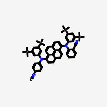 [C-]#[N+]c1ccc(N(c2cc([Si](C)(C)C)cc([Si](C)(C)C)c2)c2ccc3ccc4c(N(c5cc([Si](C)(C)C)cc([Si](C)(C)C)c5)c5ccccc5C#N)ccc5ccc2c3c54)cc1